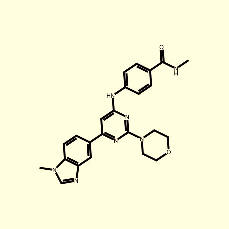 CNC(=O)c1ccc(Nc2cc(-c3ccc4c(c3)ncn4C)nc(N3CCOCC3)n2)cc1